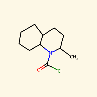 CC1CCC2CCCCC2N1C(=O)Cl